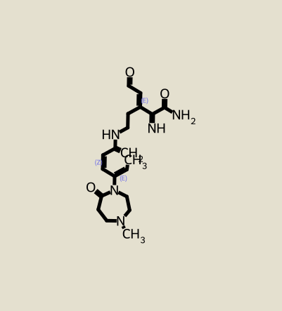 C=C(/C=C\C(=C/C)N1CCN(C)CCC1=O)NCC/C(=C\C=O)C(=N)C(N)=O